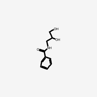 O=C(NCC(O)CO)c1[c]cccc1